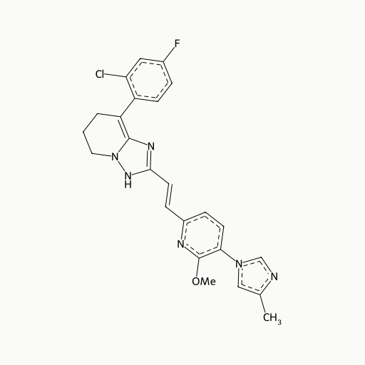 COc1nc(/C=C/C2=NC3=C(c4ccc(F)cc4Cl)CCCN3N2)ccc1-n1cnc(C)c1